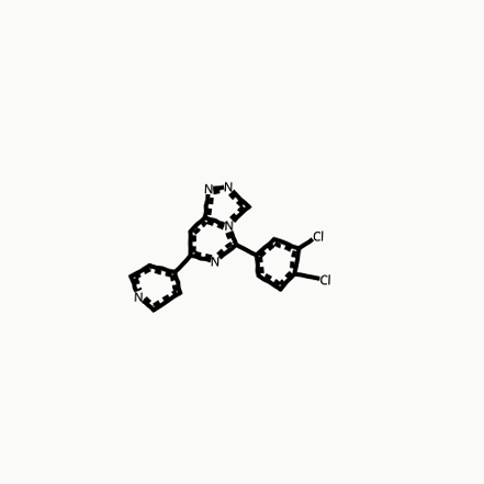 Clc1ccc(-c2nc(-c3ccncc3)cc3nncn23)cc1Cl